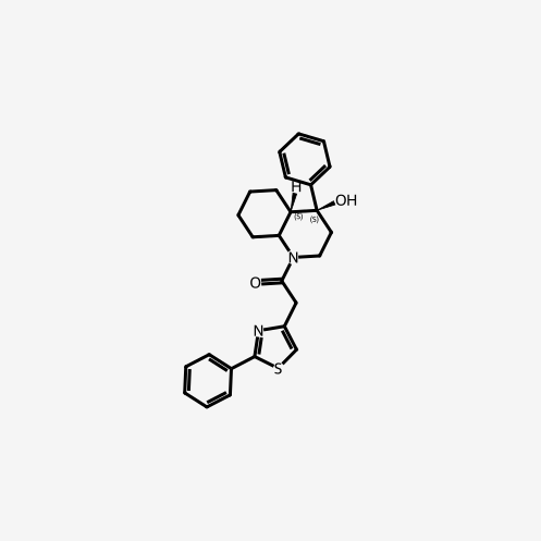 O=C(Cc1csc(-c2ccccc2)n1)N1CC[C@@](O)(c2ccccc2)[C@H]2CCCCC21